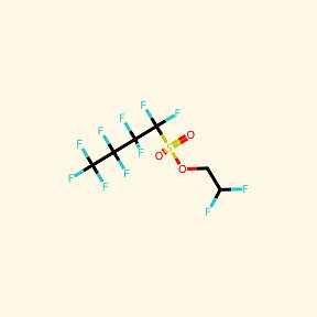 O=S(=O)(OCC(F)F)C(F)(F)C(F)(F)C(F)(F)C(F)(F)F